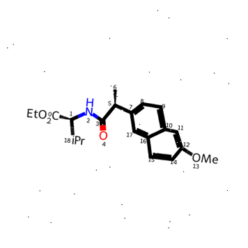 CCOC(=O)[C@@H](NC(=O)[C@@H](C)c1ccc2cc(OC)ccc2c1)C(C)C